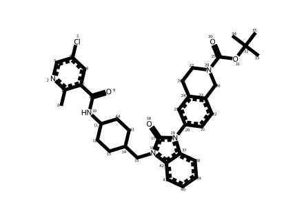 Cc1ncc(Cl)cc1C(=O)NC1CCC(Cn2c(=O)n(-c3ccc4c(c3)CCN(C(=O)OC(C)(C)C)C4)c3ccccc32)CC1